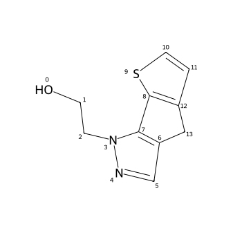 OCCn1ncc2c1-c1sccc1C2